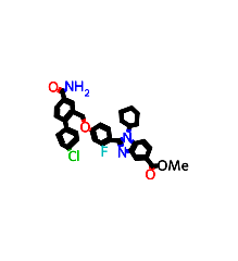 COC(=O)c1ccc2c(c1)nc(-c1ccc(OCc3cc(C(N)=O)ccc3-c3ccc(Cl)cc3)cc1F)n2C1CCCCC1